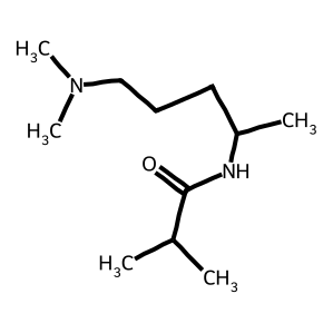 CC(CCCN(C)C)NC(=O)C(C)C